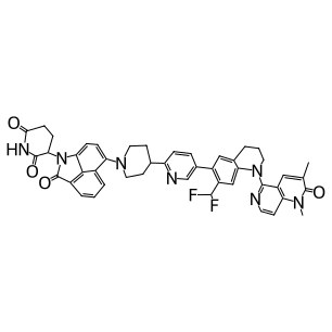 Cc1cc2c(N3CCCc4cc(-c5ccc(C6CCN(c7ccc8c9c(cccc79)C(=O)N8C7CCC(=O)NC7=O)CC6)nc5)c(C(F)F)cc43)nccc2n(C)c1=O